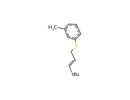 Cc1cccc(SC/C=C/C(C)(C)C)c1